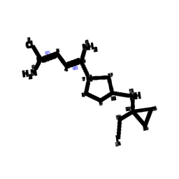 N/C(Cl)=C\C=C(/N)N1CCC(NC2(CF)CC2)C1